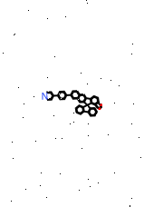 c1ccc2c(c1)-c1ccccc1C21c2cc3cc(-c4ccc(-c5ccncc5)cc4)ccc3cc2-c2ccc3ccccc3c21